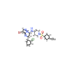 CC(C)(C)c1ccc(S(=O)(=O)N2CCC(Nc3cc(-c4ccccc4Cl)nc4c(Br)cnn34)CC2)cc1